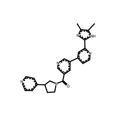 Cc1nc(-c2cc(-c3cncc(C(=O)N4CCC(c5ccncc5)C4)c3)ccn2)[nH]c1C